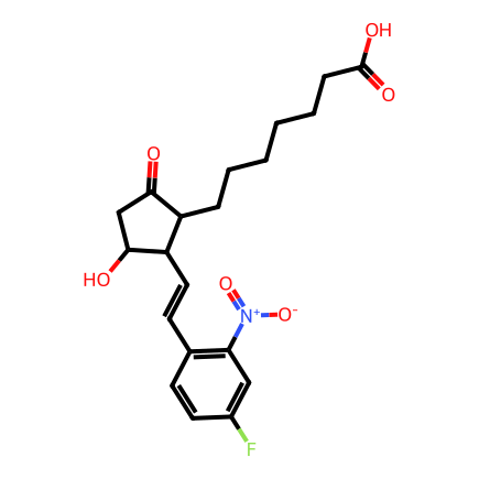 O=C(O)CCCCCCC1C(=O)CC(O)C1C=Cc1ccc(F)cc1[N+](=O)[O-]